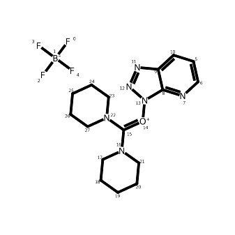 F[B-](F)(F)F.c1cnc2c(c1)nnn2[O+]=C(N1CCCCC1)N1CCCCC1